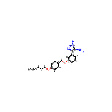 CNCCCOc1ccc(COc2cccc(-c3nn[nH]c3N)c2)cc1